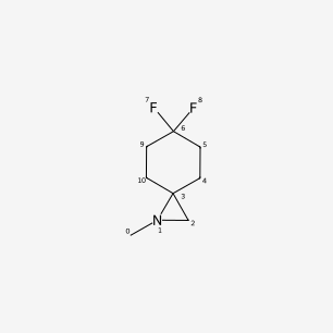 CN1CC12CCC(F)(F)CC2